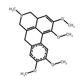 COC1=CC2CN(C)CC3=C2C(=C1OC)c1cc(OC)c(OC)cc1C3